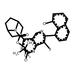 CC(C)(C)OC(=O)N1C2CCC1CN(c1nc(Cl)nc3c(F)c(-c4cccc5cccc(Cl)c45)ncc13)C2